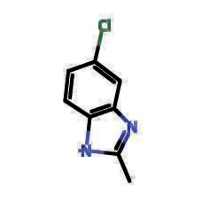 CC1=Nc2cc(Cl)ccc2[N]1